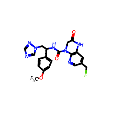 O=C1CN(C(=O)NC(Cn2cncn2)c2ccc(OC(F)(F)F)cc2)c2ncc(CF)cc2N1